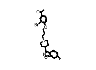 CC(=O)c1ccc(OCCCN2CCC(c3noc4cc(F)ccc34)CC2)c(Br)c1